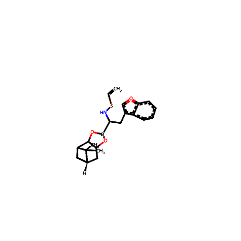 C=CSNC(Cc1coc2ccccc12)B1OC2C[C@@H]3CC(C2O1)C3(C)C